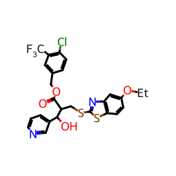 CCOc1ccc2sc(SCC(C(=O)OCc3ccc(Cl)c(C(F)(F)F)c3)C(O)c3cccnc3)nc2c1